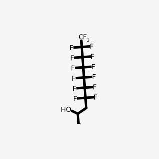 [CH2]C(O)CC(F)(F)C(F)(F)C(F)(F)C(F)(F)C(F)(F)C(F)(F)C(F)(F)F